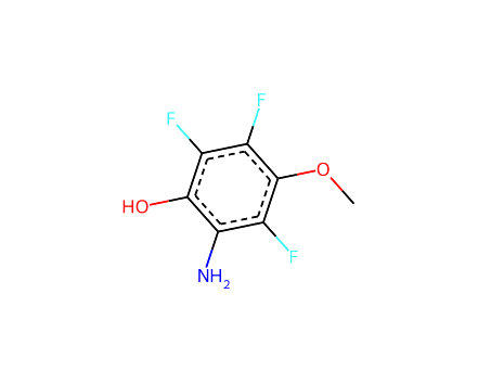 COc1c(F)c(N)c(O)c(F)c1F